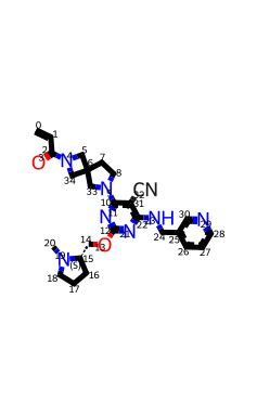 C=CC(=O)N1CC2(CCN(c3nc(OC[C@@H]4CCCN4C)nc(NCc4cccnc4)c3C#N)C2)C1